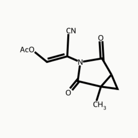 CC(=O)OC=C(C#N)N1C(=O)C2CC2(C)C1=O